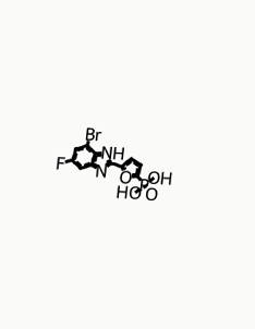 O=P(O)(O)c1ccc(-c2nc3cc(F)cc(Br)c3[nH]2)o1